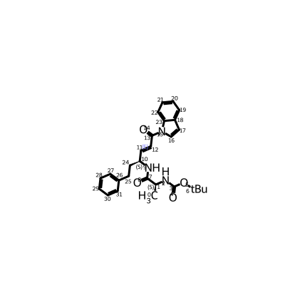 C[C@H](NC(=O)OC(C)(C)C)C(=O)N[C@H](/C=C/C(=O)n1ccc2ccccc21)CCc1ccccc1